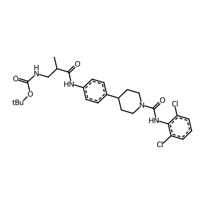 CC(CNC(=O)OC(C)(C)C)C(=O)Nc1ccc(C2CCN(C(=O)Nc3c(Cl)cccc3Cl)CC2)cc1